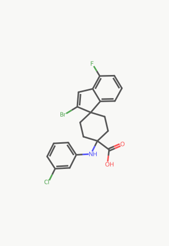 O=C(O)C1(Nc2cccc(Cl)c2)CCC2(CC1)C(Br)=Cc1c(F)cccc12